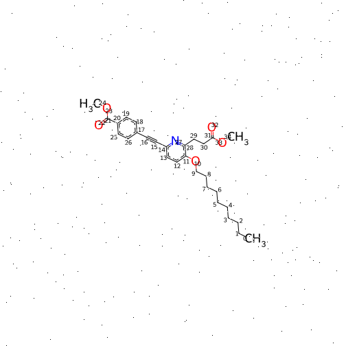 CCCCCCCCCCOc1ccc(C#Cc2ccc(C(=O)OC)cc2)nc1CCC(=O)OC